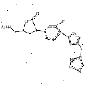 CC(=O)NCC1CN(c2ccc(-c3csc(Cn4cnnn4)n3)c(F)c2)C(=O)O1